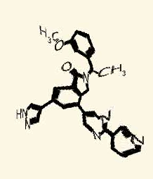 COc1cccc([C@@H](C)N2Cc3c(cc(-c4cn[nH]c4)cc3-c3cnc(-c4cccnc4)nc3)C2=O)c1